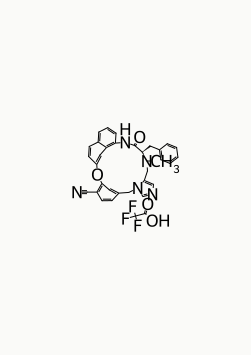 CN1Cc2cncn2Cc2ccc(C#N)c(c2)Oc2ccc3cccc(c3c2)NC(=O)[C@H]1Cc1ccccc1.O=C(O)C(F)(F)F